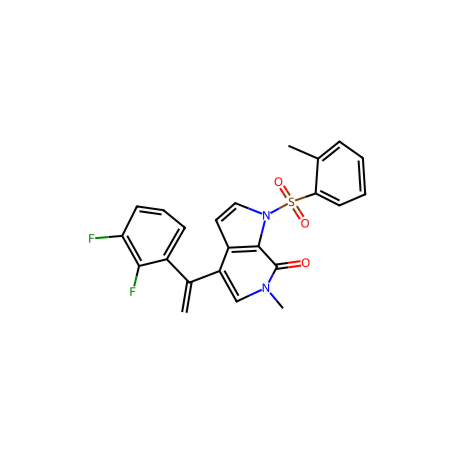 C=C(c1cccc(F)c1F)c1cn(C)c(=O)c2c1ccn2S(=O)(=O)c1ccccc1C